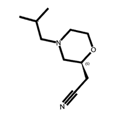 C[C](C)CN1CCO[C@@H](CC#N)C1